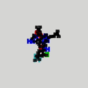 CCc1c(C2CNCCN2C(=O)OC(C)(C)C)c(=O)n2nc(C#CC3CC3)nc2n1CC(=O)Nc1ccc(C(F)(F)F)cc1Cl